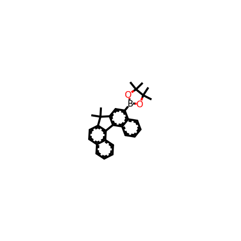 CC1(C)c2ccc3ccccc3c2-c2c1cc(B1OC(C)(C)C(C)(C)O1)c1ccccc21